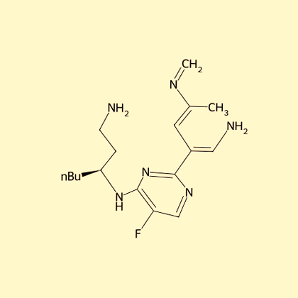 C=N/C(C)=C/C(=C\N)c1ncc(F)c(N[C@H](CCN)CCCC)n1